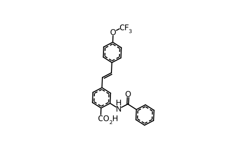 O=C(Nc1cc(/C=C/c2ccc(OC(F)(F)F)cc2)ccc1C(=O)O)c1ccccc1